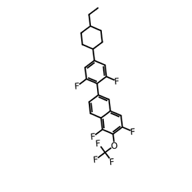 CCC1CCC(c2cc(F)c(-c3ccc4c(F)c(OC(F)(F)F)c(F)cc4c3)c(F)c2)CC1